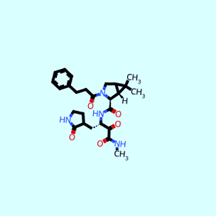 CNC(=O)C(=O)[C@H](CC1CCNC1=O)NC(=O)[C@@H]1[C@@H]2C(CN1C(=O)CCc1ccccc1)C2(C)C